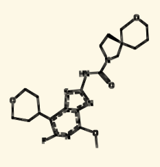 COc1nc(F)c(C2CCOCC2)c2sc(NC(=O)N3CC[C@@]4(CCCOC4)C3)nc12